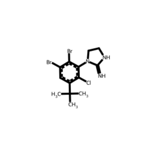 CC(C)(C)c1cc(Br)c(Br)c(N2CCNC2=N)c1Cl